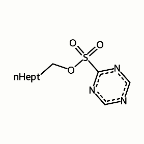 CCCCCCCCOS(=O)(=O)c1ncncn1